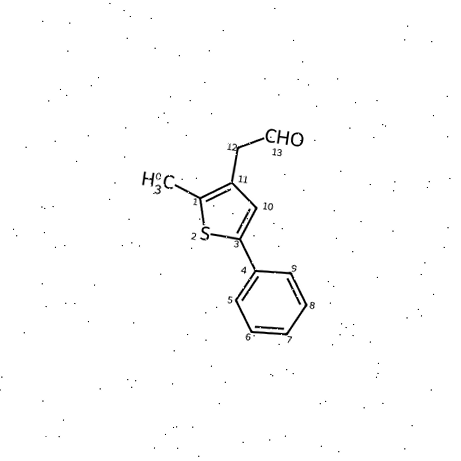 Cc1sc(-c2ccccc2)cc1CC=O